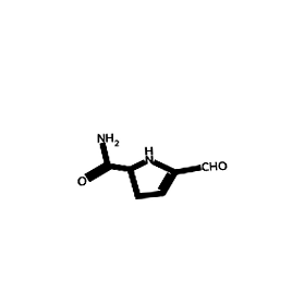 NC(=O)C1CC=C(C=O)N1